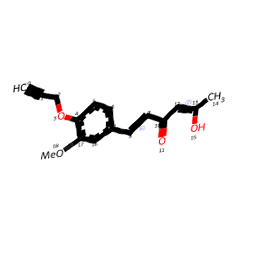 C#CCOc1ccc(/C=C/C(=O)/C=C(/C)O)cc1OC